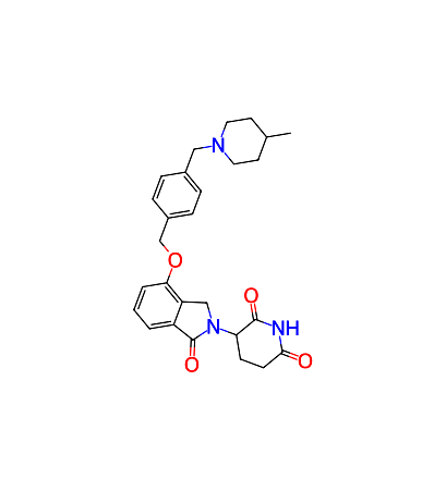 CC1CCN(Cc2ccc(COc3cccc4c3CN(C3CCC(=O)NC3=O)C4=O)cc2)CC1